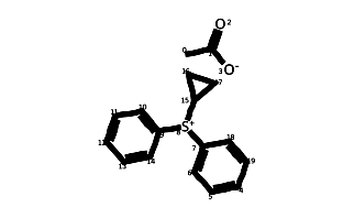 CC(=O)[O-].c1ccc([S+](c2ccccc2)C2CC2)cc1